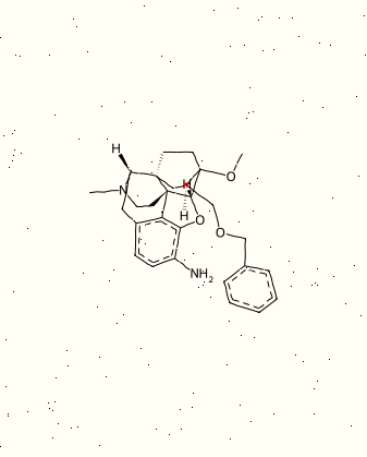 COC12CC[C@@]3(C[C@@H]1COCc1ccccc1)[C@H]1Cc4ccc(N)c5c4[C@@]3(CCN1C)[C@H]2O5